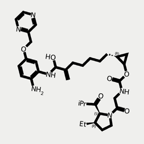 C=C(CCCCC[C@@H]1CC1OC(=O)NCC(=O)N1CC[C@@H](CC)[C@H]1C(=O)C(C)C)C(O)Nc1cc(OCc2cnccn2)ccc1N